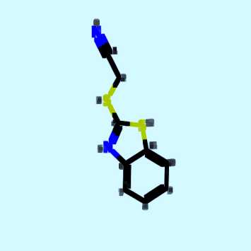 N#CCSc1nc2ccccc2s1